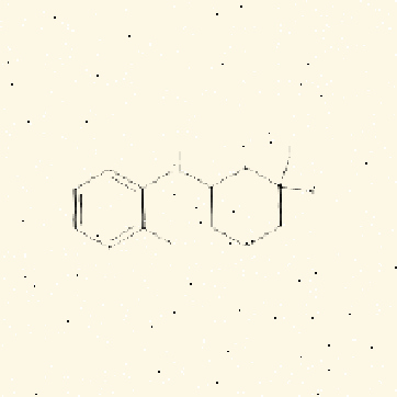 Fc1ccccc1NC1CCCC(F)(F)C1